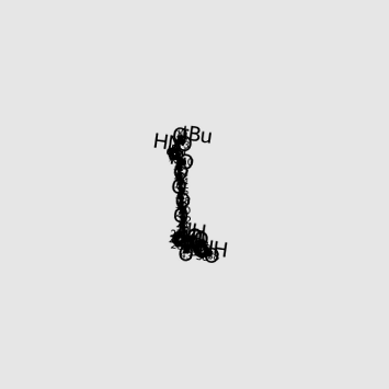 CC(C)(C)OC(=O)N[C@H]1CCN(C(=O)COCCOCCOCCOCCNc2cccc3c2C(=O)N(C2CCC(=O)NC2=O)C3=O)C1